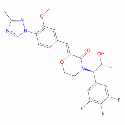 COc1cc(C=C2OCCN([C@H](c3cc(F)c(F)c(F)c3)[C@@H](C)O)C2=O)ccc1-n1cnc(C)n1